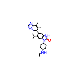 CCN[C@H]1CC[C@@H](n2c(=O)[nH]c3cc(-c4cn5ncnc5c(C)c4C)c(C(C)C)cc32)CC1